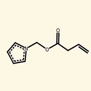 C=CCC(=O)OCn1cccc1